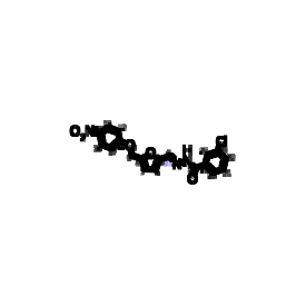 O=C(N/N=C/c1ccc(COc2ccc([N+](=O)[O-])cc2)o1)c1cccc(Cl)c1